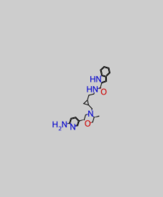 C[C@H]1CO[C@@H](c2ccc(N)nc2)CN1CC1CC1CCNC(=O)c1cc2ccccc2[nH]1